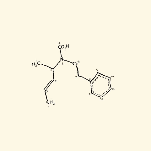 CC(C=CN)N(OCc1ccccc1)C(=O)O